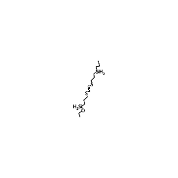 CCC[SiH2]CCCSSSSCCC[SiH2]OCC